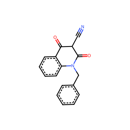 N#CC1C(=O)c2ccccc2N(Cc2ccccc2)C1=O